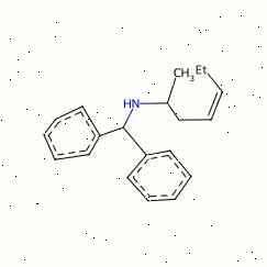 CC/C=C\CC(C)NC(c1ccccc1)c1ccccc1